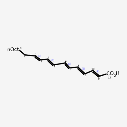 CCCCCCCCC/C=C/C=C/C=C/C=C/C=C/C(=O)O